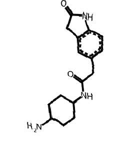 NC1CCC(NC(=O)Cc2ccc3c(c2)CC(=O)N3)CC1